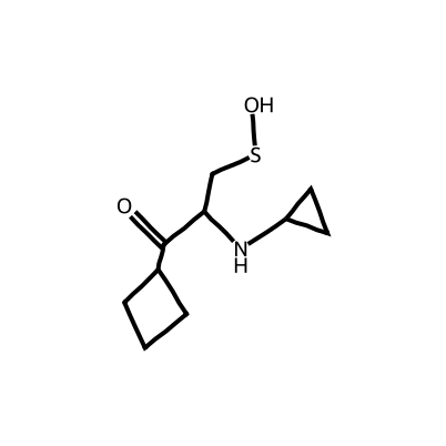 O=C(C1CCC1)C(CSO)NC1CC1